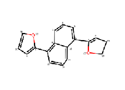 C1=C(c2cccc3c(-c4ccco4)cccc23)OCC1